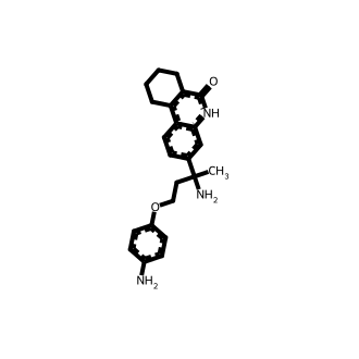 CC(N)(CCOc1ccc(N)cc1)c1ccc2c3c(c(=O)[nH]c2c1)CCCC3